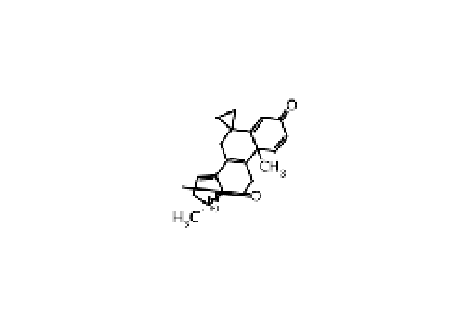 CC12C=CC(=O)C=C1C1(CC1)CC1=C2CCC23C(=O)CC[C@]2(C)CC=C13